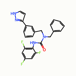 O=C(Nc1c(F)cc(F)cc1F)N(Cc1ccccc1)Cc1cccc(-c2cc[nH]n2)c1